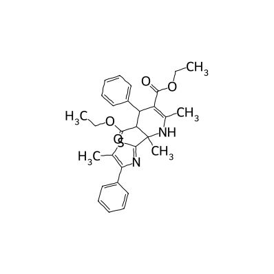 CCOC(=O)C1=C(C)NC(C)(c2nc(-c3ccccc3)c(C)s2)C(C(=O)OCC)C1c1ccccc1